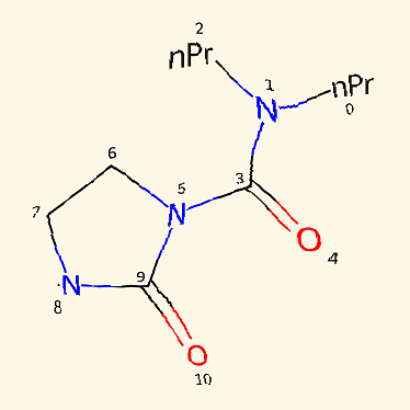 CCCN(CCC)C(=O)N1CC[N]C1=O